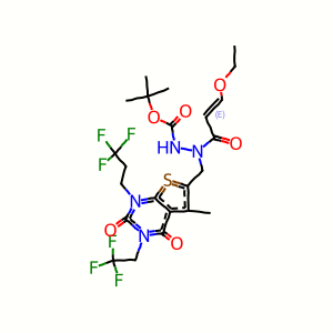 CCO/C=C/C(=O)N(Cc1sc2c(c1C)c(=O)n(CC(F)(F)F)c(=O)n2CCC(F)(F)F)NC(=O)OC(C)(C)C